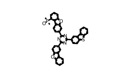 CP(C)(=O)c1cccc2oc3cc(-c4nc(-c5ccc6oc7ccccc7c6c5)nc(-c5ccc6sc7ccccc7c6c5)n4)ccc3c12